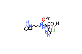 CC(C)OCCN(CCCCc1ccc2c(n1)NCCC2)CC[C@H](NC(=O)c1ncncc1Cl)C(=O)O